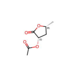 CC(=O)O[C@H]1C[C@@H](C)OC1=O